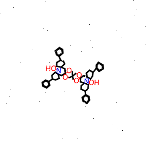 ON1C2(CCC(c3ccccc3)CC2)CC2(CC13CCC(c1ccccc1)CC3)OCC1(CO2)COC2(CC3(CCC(c4ccccc4)CC3)N(O)C3(CCC(c4ccccc4)CC3)C2)OC1